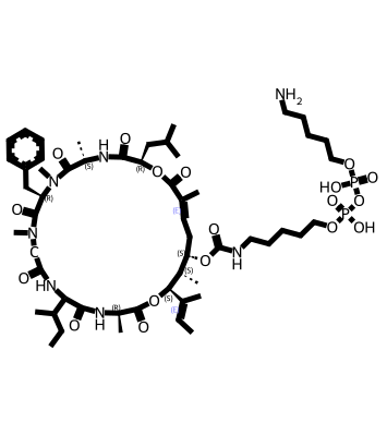 C/C=C(\C)[C@H]1OC(=O)[C@@H](C)NC(=O)C(C(C)CC)NC(=O)CN(C)C(=O)[C@@H](Cc2ccccc2)N(C)C(=O)[C@H](C)NC(=O)[C@@H](CC(C)C)OC(=O)/C(C)=C/C[C@H](OC(=O)NCCCCCOP(=O)(O)OP(=O)(O)OCCCCCN)[C@@H]1C